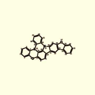 c1ccc2c(c1)Oc1ccc3c4cc5c(cc4n4c3c1B2c1ccccc1-4)oc1ccccc15